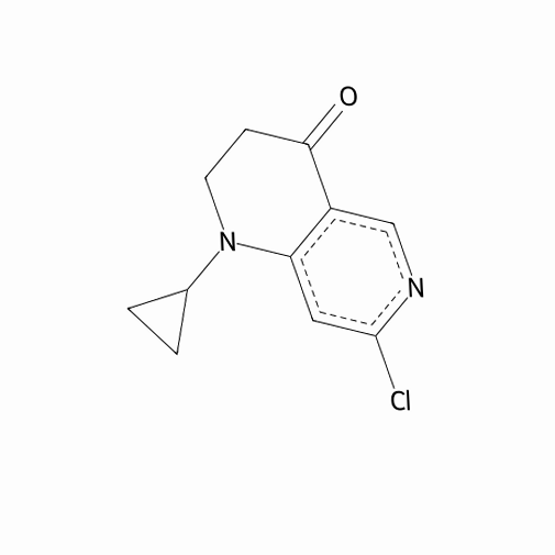 O=C1CCN(C2CC2)c2cc(Cl)ncc21